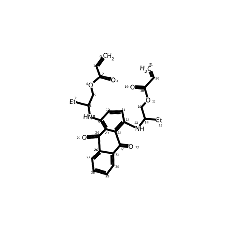 C=CC(=O)OCC(CC)Nc1ccc(NC(CC)COC(=O)C=C)c2c1C(=O)c1ccccc1C2=O